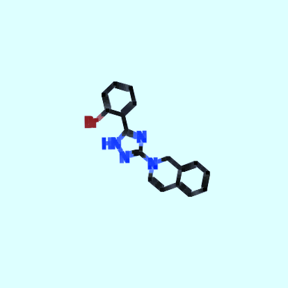 Brc1ccccc1-c1nc(N2C=Cc3ccccc3C2)n[nH]1